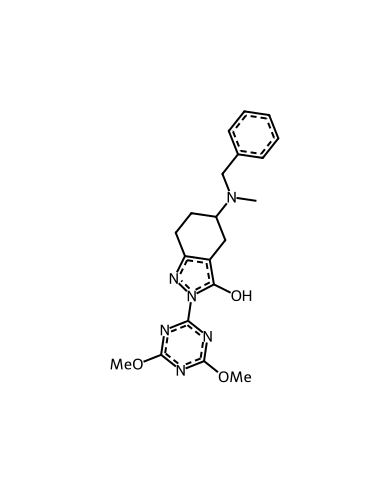 COc1nc(OC)nc(-n2nc3c(c2O)CC(N(C)Cc2ccccc2)CC3)n1